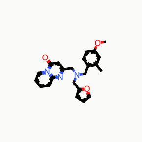 COc1ccc(CN(Cc2cc(=O)n3ccccc3n2)Cc2ccco2)c(C)c1